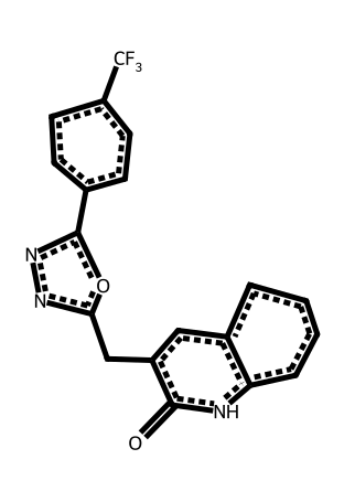 O=c1[nH]c2ccccc2cc1Cc1nnc(-c2ccc(C(F)(F)F)cc2)o1